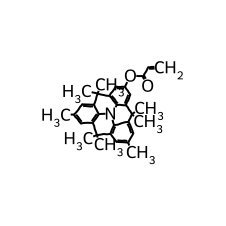 C=CC(=O)Oc1cc2c3c(c1)C(C)(C)c1cc(C)cc4c1N3c1c(cc(C)cc1C2(C)C)C4(C)C